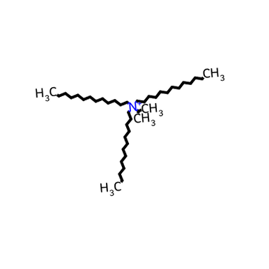 CCCCCCCCCCCCC[N+](CCCCCCCCCCCCC)(CCCCCCCCCCCCC)C(C)C